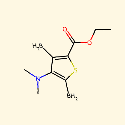 Bc1sc(C(=O)OCC)c(B)c1N(C)C